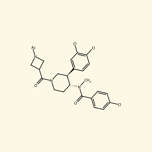 CC(=O)N1CC(C(=O)N2CC[C@@H](N(C)C(=O)c3ccc(Cl)cc3)[C@H](c3ccc(Cl)c(Cl)c3)C2)C1